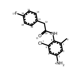 Cc1cc(N)cc(Cl)c1NC(=O)Cc1ccc(F)cc1